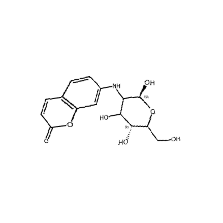 O=c1ccc2ccc(NC3C(O)[C@@H](O)C(CO)O[C@@H]3O)cc2o1